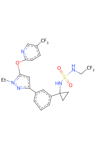 CCn1nc(-c2cccc(C3(NS(=O)(=O)NCC(F)(F)F)CC3)c2)cc1Oc1ccc(C(F)(F)F)cn1